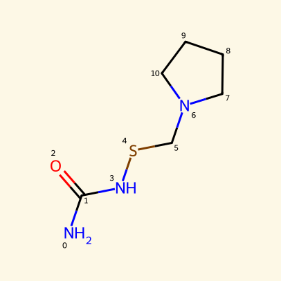 NC(=O)NSCN1CCCC1